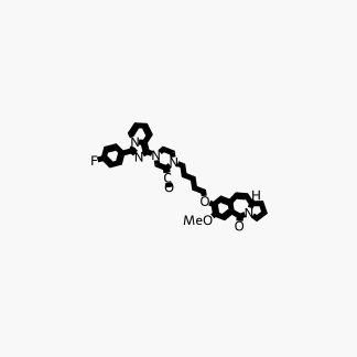 COc1cc2c(cc1OCCCCCN1CCN(c3nc(-c4ccc(F)cc4)n4ccccc34)CC1=C=O)C=C[C@@H]1CCCN1C2=O